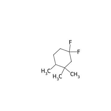 CC1CCC(F)(F)CC1(C)C